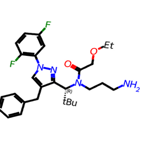 CCOCC(=O)N(CCCN)[C@@H](c1nn(-c2cc(F)ccc2F)cc1Cc1ccccc1)C(C)(C)C